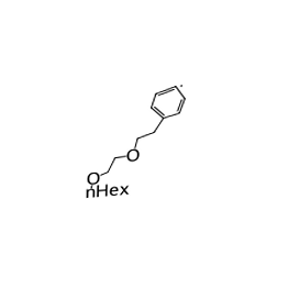 CCCCCCOCCOCCc1cc[c]cc1